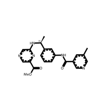 COC(=O)c1cncc(N[C@@H](C)c2cccc(NC(=O)c3cncc(C)c3)c2)n1